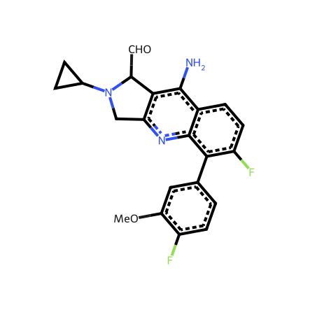 COc1cc(-c2c(F)ccc3c(N)c4c(nc23)CN(C2CC2)C4C=O)ccc1F